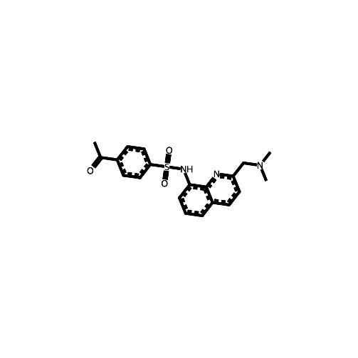 CC(=O)c1ccc(S(=O)(=O)Nc2cccc3ccc(CN(C)C)nc23)cc1